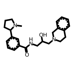 CN1CCCC1c1cccc(C(=O)NCC(O)CN2CCc3ccccc3C2)c1